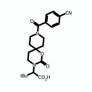 CC(C)(C)C(C(=O)O)N1CCC2(CCN(C(=O)c3ccc(C#N)cc3)CC2)OC1=O